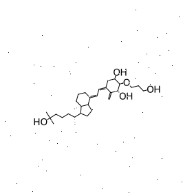 C=C1/C(=C\C=C2/CCC[C@@]3(C)C2CCC3[C@H](C)CCCC(C)(C)O)C[C@@H](O)[C@@H](OCCCO)[C@@H]1O